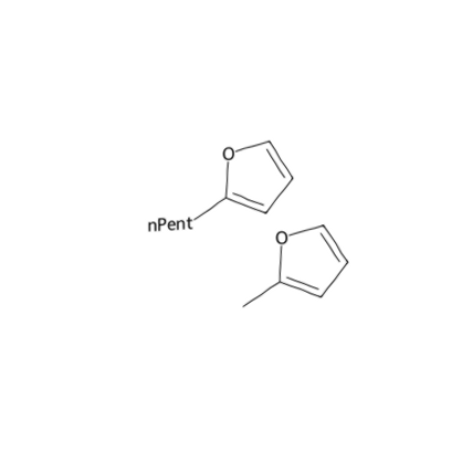 CCCCCc1ccco1.Cc1ccco1